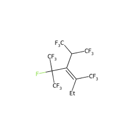 CC/C(=C(/C(C(F)(F)F)C(F)(F)F)C(F)(C(F)(F)F)C(F)(F)F)C(F)(F)F